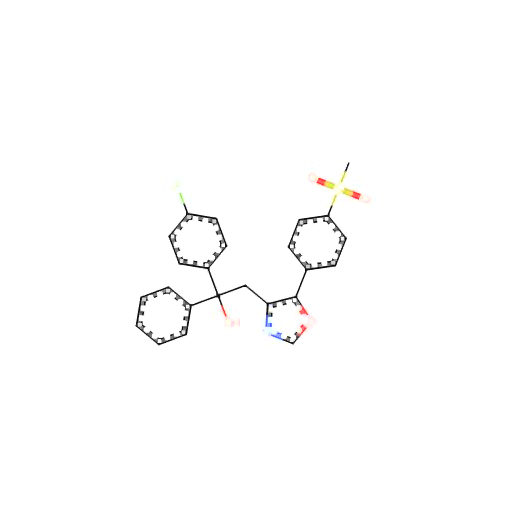 CS(=O)(=O)c1ccc(-c2ocnc2CC(O)(c2ccccc2)c2ccc(F)cc2)cc1